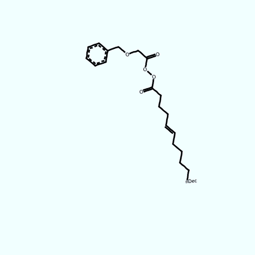 CCCCCCCCCCCCCCC=CCCCC(=O)OOC(=O)COCc1ccccc1